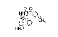 COc1ccc(C(=O)N2CC(S(=O)(=O)c3ccc4c(c3-c3ccccc3)CCN4)NC2=O)cc1